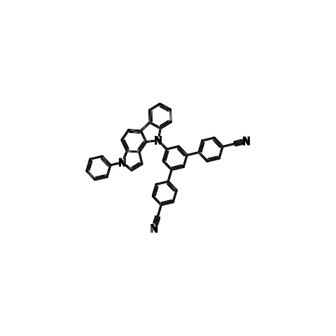 N#Cc1ccc(-c2cc(-c3ccc(C#N)cc3)cc(-n3c4ccccc4c4ccc5c(ccn5-c5ccccc5)c43)c2)cc1